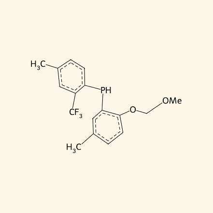 COCOc1ccc(C)cc1Pc1ccc(C)cc1C(F)(F)F